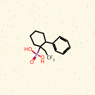 O=P(O)(O)C1(CC(F)(F)F)CCCCC1c1ccccc1